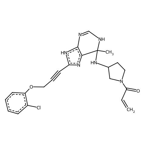 C=CC(=O)N1CCC(NC2(C)NC=Nc3[nH]c(C#CCOc4ccccc4Cl)nc32)C1